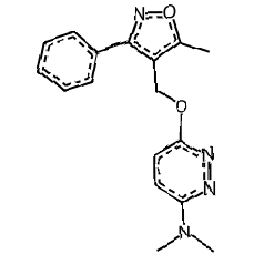 Cc1onc(-c2ccccc2)c1COc1ccc(N(C)C)nn1